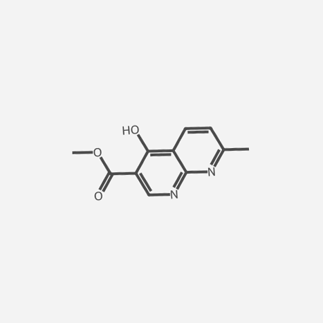 COC(=O)c1cnc2nc(C)ccc2c1O